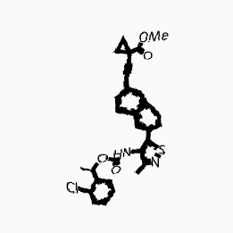 COC(=O)C1(C#Cc2ccc3cc(-c4snc(C)c4NC(=O)O[C@H](C)c4ccccc4Cl)ccc3c2)CC1